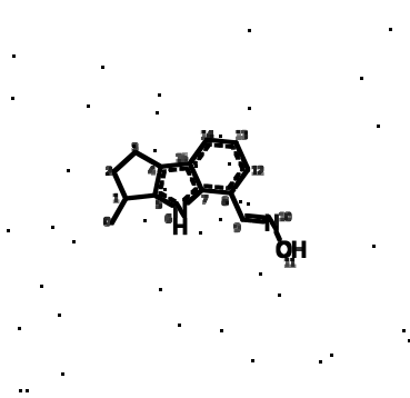 CC1CCc2c1[nH]c1c(C=NO)cccc21